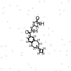 O=C1CC(CNC(=O)c2ccc3c(c2)CCN(C2=CC=C2)CC3)CN1